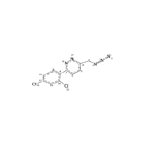 [N-]=[N+]=NCc1ccc(-c2ccc(Cl)cc2Cl)nn1